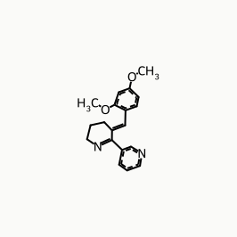 COc1ccc(/C=C2\CCCN=C2c2cccnc2)c(OC)c1